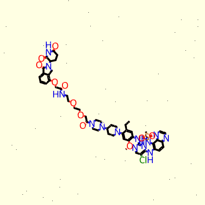 CCc1cc(Nc2ncc(Cl)c(Nc3ccc4nccnc4c3NS(C)(=O)=O)n2)c(OC)cc1N1CCC(N2CCN(C(=O)COCCOCCNC(=O)COc3cccc4c3CN(C3CCC(=O)NC3=O)C4=O)CC2)CC1